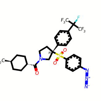 [N-]=[N+]=Nc1ccc(S(=O)(=O)[C@@]2(c3ccc(C(F)(C(F)(F)F)C(F)(F)F)cc3)CCN(C(=O)[C@H]3CC[C@H](C(=O)O)CC3)C2)cc1